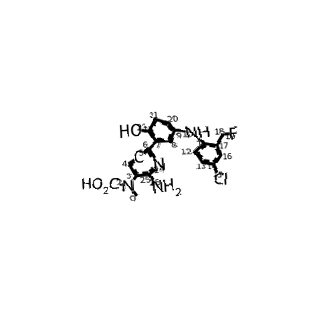 CN(C(=O)O)c1ccc(-c2cc(Nc3ccc(Cl)cc3CF)ccc2O)nc1N